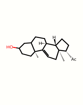 CC(=O)[C@H]1CC[C@H]2[C@@H]3CCC4CC(O)CC[C@]4(C)C3=CC[C@]12C